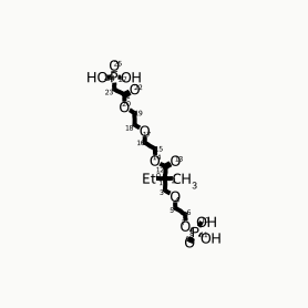 CCC(C)(COCCOP(=O)(O)O)C(=O)OCCOCCOC(=O)CP(=O)(O)O